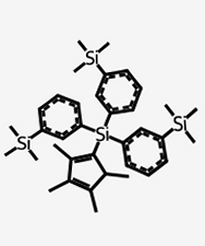 CC1=C(C)C(C)C([Si](c2cccc([Si](C)(C)C)c2)(c2cccc([Si](C)(C)C)c2)c2cccc([Si](C)(C)C)c2)=C1C